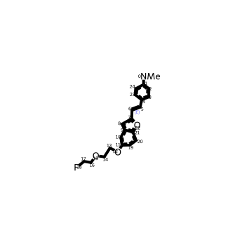 CNc1ccc(/C=C/c2cc3cc(OCCOCCF)ccc3o2)cc1